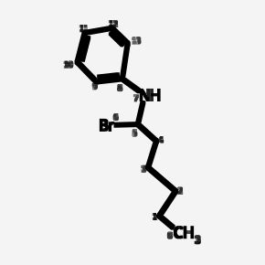 CCCCCC(Br)Nc1ccccc1